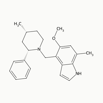 COc1cc(C)c2[nH]ccc2c1CN1CC[C@@H](C)C[C@H]1c1ccccc1